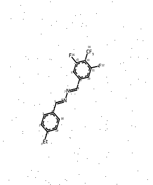 CCc1ccc(/C=N/N=C/c2cc(F)c(C(F)(F)F)c(F)c2)cc1